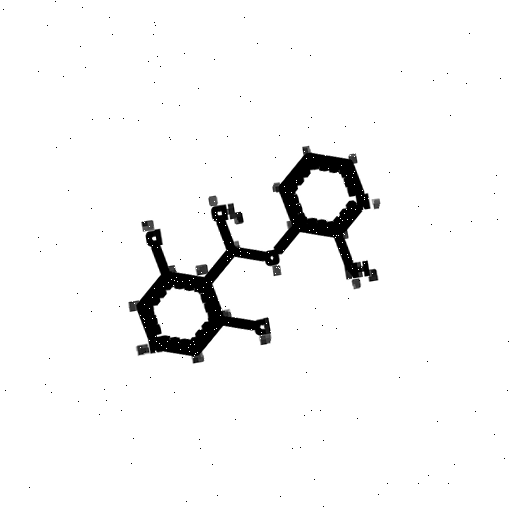 CC(Oc1cccnc1N)c1c(Cl)cncc1Cl